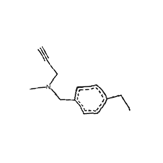 C#CCN(C)Cc1ccc(CC)cc1